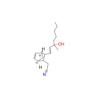 CCCCCC(C)(O)C=CC1C(CC#N)[C@H]2C=C[C@H]1C2